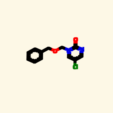 O=c1ncc(Cl)cn1COCc1ccccc1